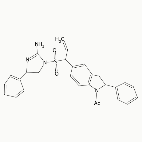 C=CC(c1ccc2c(c1)CC(c1ccccc1)N2C(C)=O)S(=O)(=O)N1CC(c2ccccc2)N=C1N